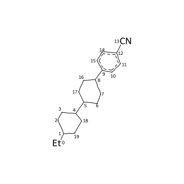 CCC1CCC(C2CCC(c3ccc(C#N)cc3)CC2)CC1